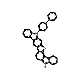 c1ccc(-c2ccc(-n3c4ccccc4c4cc5c(cc43)sc3c5ccc4[nH]c5ccccc5c43)cc2)cc1